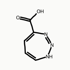 O=C(O)C1=CC=CNN=N1